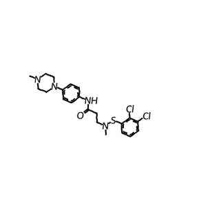 CN1CCN(c2ccc(NC(=O)CCN(C)Sc3cccc(Cl)c3Cl)cc2)CC1